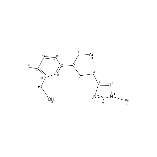 CCn1cc(CCC(CC(C)=O)c2ccc(C)c(CO)c2)nn1